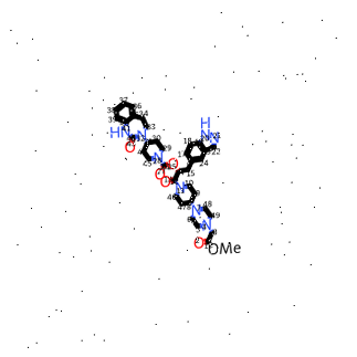 COC(=O)CN1CCN(C2CCN(C(=O)C(Cc3ccc4[nH]ncc4c3)OC(=O)N3CCC(N4CCc5ccccc5NC4=O)CC3)CC2)CC1